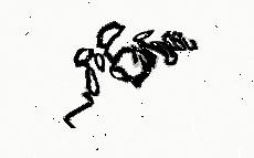 CC(C)(C)OC(=O)N1CCOC([C@@H](Oc2ccccc2OCC=CI)c2ccccc2)C1